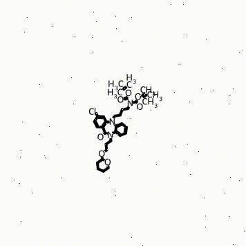 CC(C)(C)OC(=O)N(CCCCN1c2cc(Cl)ccc2C(=O)N(CCCOC2CCCCO2)c2ccccc21)C(=O)OC(C)(C)C